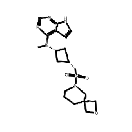 CN(c1ncnc2[nH]ccc12)[C@H]1C[C@@H](CS(=O)(=O)N2CCCC3(COC3)C2)C1